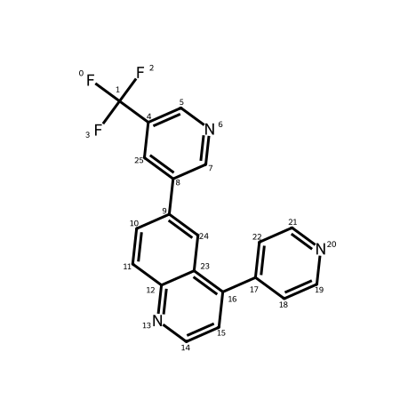 FC(F)(F)c1cncc(-c2ccc3nccc(-c4ccncc4)c3c2)c1